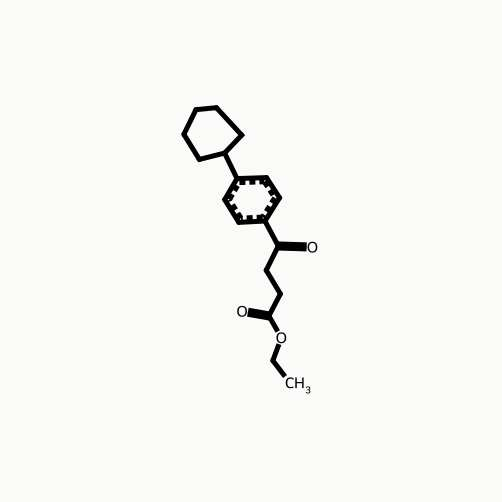 CCOC(=O)CCC(=O)c1ccc(C2CCCCC2)cc1